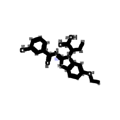 CCOc1ccc2s/c(=N\C(=O)c3cccc(Cl)c3)n(C(CC)C(=O)O)c2c1